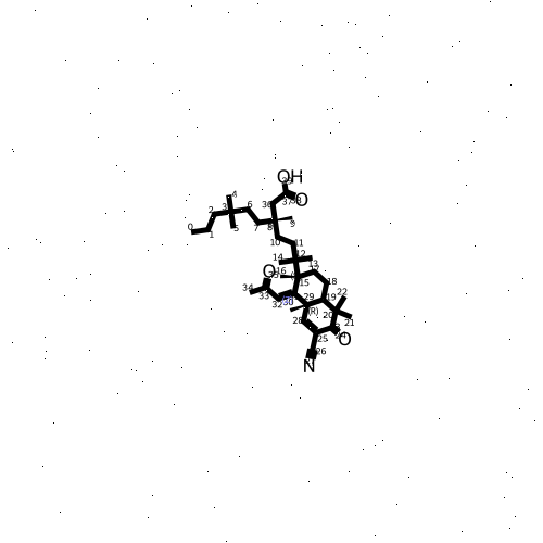 CCCC(C)(C)CC[C@@](C)(CCC(C)(C)[C@]1(C)CCC2C(C)(C)C(=O)C(C#N)=C[C@]2(C)/C1=C/C(C)=O)CC(=O)O